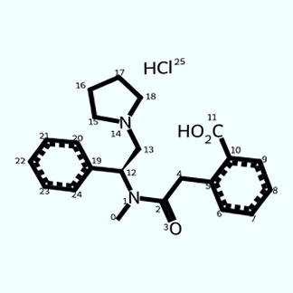 CN(C(=O)Cc1ccccc1C(=O)O)[C@H](CN1CCCC1)c1ccccc1.Cl